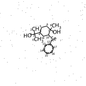 CC(C)(O)C1CCC(C)(O)C([Se]c2ccccc2)C1